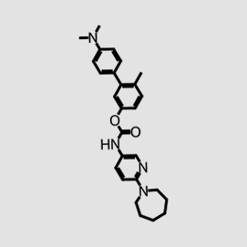 Cc1ccc(OC(=O)Nc2ccc(N3CCCCCC3)nc2)cc1-c1ccc(N(C)C)cc1